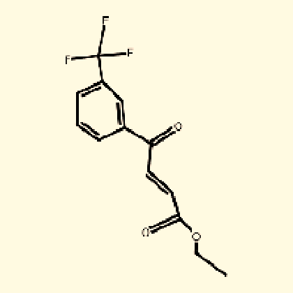 CCOC(=O)C=CC(=O)c1cccc(C(F)(F)F)c1